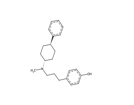 CN(CCCc1ccc(O)cc1)[C@H]1CC[C@H](c2ccccc2)CC1